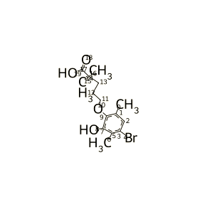 Cc1cc(Br)c(C)c(O)c1OCCCC(C)(C)C(=O)O